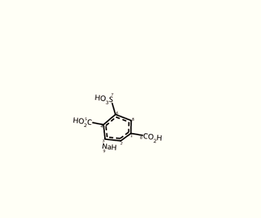 O=C(O)c1ccc(C(=O)O)c(S(=O)(=O)O)c1.[NaH]